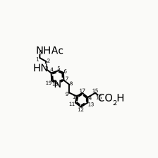 CC(=O)NCCNc1ccc(CCc2cccc(CC(=O)O)c2)nc1